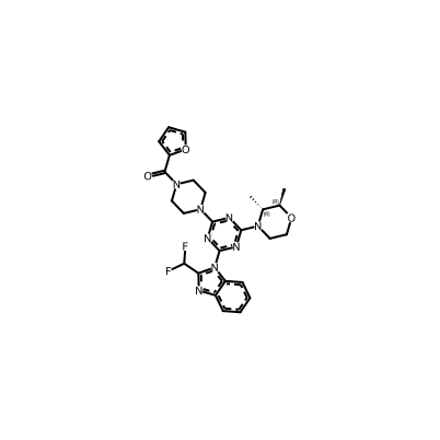 C[C@@H]1[C@@H](C)OCCN1c1nc(N2CCN(C(=O)c3ccco3)CC2)nc(-n2c(C(F)F)nc3ccccc32)n1